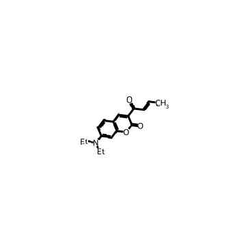 CC=CC(=O)c1cc2ccc(N(CC)CC)cc2oc1=O